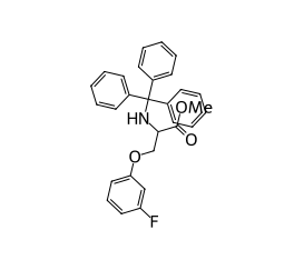 COC(=O)C(COc1cccc(F)c1)NC(c1ccccc1)(c1ccccc1)c1ccccc1